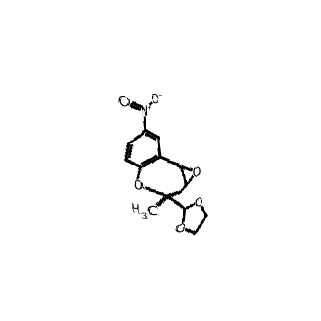 CC1(C2OCCO2)Oc2ccc([N+](=O)[O-])cc2C2OC21